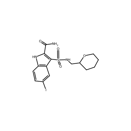 NC(=O)c1[nH]c2ccc(I)cc2c1S(=O)(=O)NCC1CCCCO1